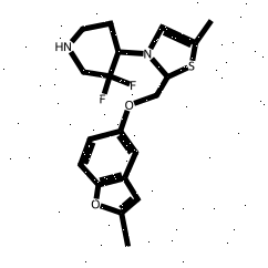 CC1=CN(C2CCNCC2(F)F)C(COc2ccc3oc(C)cc3c2)S1